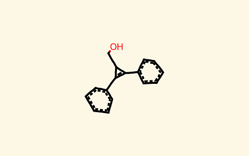 OCC1C(c2ccccc2)=C1c1ccccc1